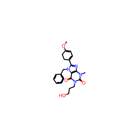 COC1=CC=C(c2nc3c(c(=O)n(CCCO)c(=O)n3C)n2CC2=C=C=CC=C2)CC1